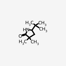 CC1(C)CC(C(C)(C)C)NC1=O